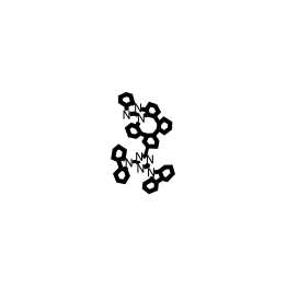 c1ccc2c(c1)nc1n2c2cccc3c4ccccc4c4ccc(-c5nc(-n6c7ccccc7c7ccccc76)nc(-n6c7ccccc7c7ccccc76)n5)cc4c4ccccc4n1c32